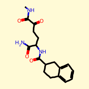 CNC(=O)C(=O)CCC(NC(=O)C1CCc2ccccc2C1)C(N)=O